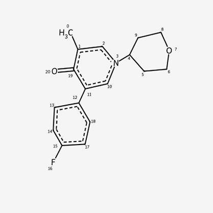 Cc1cn(C2CCOCC2)cc(-c2ccc(F)cc2)c1=O